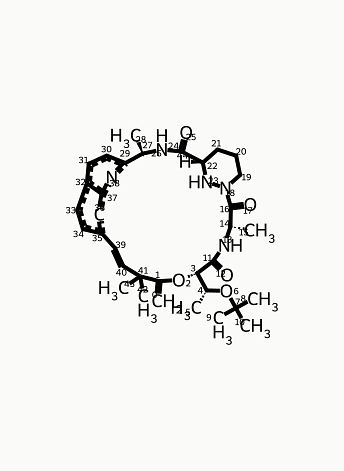 C=C1O[C@@H]([C@@H](C)OC(C)(C)C)C(=O)N[C@@H](C)C(=O)N2CCC[C@H](N2)C(=O)N[C@H](C)c2ccc3ccc(cc3n2)/C=C/C1(C)C